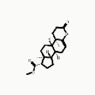 COC(=O)[C@H]1CC[C@H]2[C@@H]3CC=C4OC(=O)CC[C@]4(C)[C@H]3CC[C@]12C